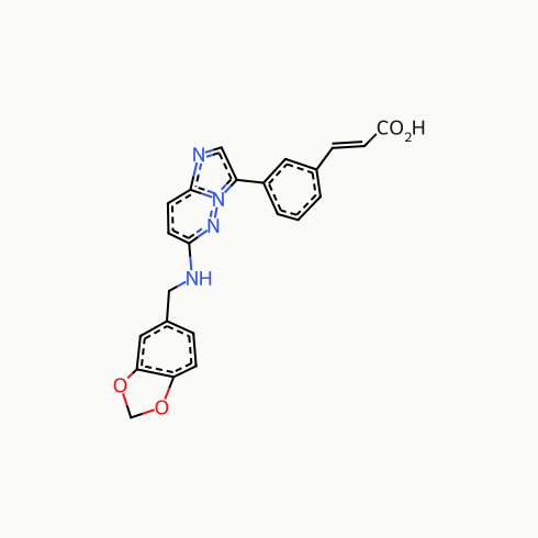 O=C(O)C=Cc1cccc(-c2cnc3ccc(NCc4ccc5c(c4)OCO5)nn23)c1